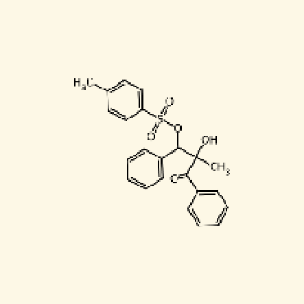 Cc1ccc(S(=O)(=O)OC(c2ccccc2)C(C)(O)C(=O)c2ccccc2)cc1